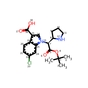 CC(C)(C)OC(=O)[C@H](C1CCCN1)n1cc(C(=O)O)c2ccc(Cl)cc21